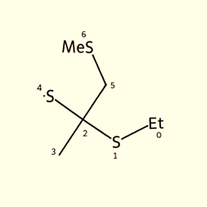 CCSC(C)([S])CSC